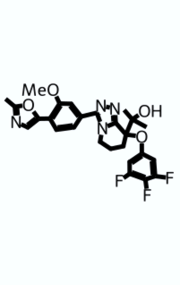 COc1cc(-c2nnc3n2CCCC3(Oc2cc(F)c(F)c(F)c2)C(C)(C)O)ccc1-c1cnc(C)o1